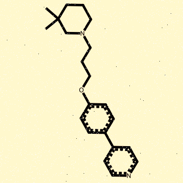 CC1(C)CCCN(CCCOc2ccc(-c3ccncc3)cc2)C1